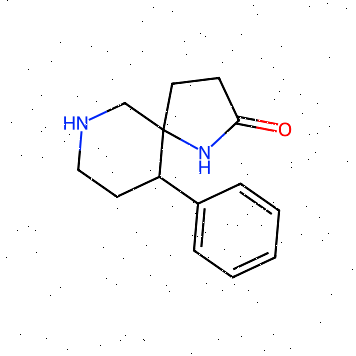 O=C1CCC2(CNCCC2c2ccccc2)N1